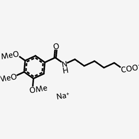 COc1cc(C(=O)NCCCCCC(=O)[O-])cc(OC)c1OC.[Na+]